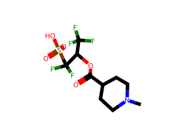 CN1CCC(C(=O)OC(C(F)(F)F)C(F)(F)S(=O)(=O)O)CC1